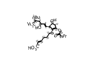 CCCC[C@@H](C)C[C@H](O)C=C[C@@H]1C(SCCCC=CC(=O)O)=C(OC(=O)CCC)C[C@H]1O